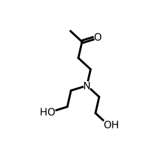 CC(=O)CCN(CCO)CCO